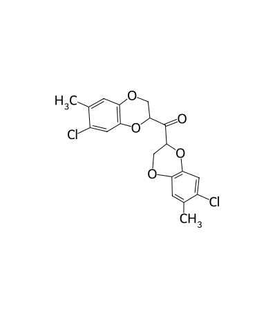 Cc1cc2c(cc1Cl)OC(C(=O)C1COc3cc(C)c(Cl)cc3O1)CO2